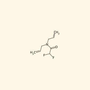 C=CCN(CC=C)C(=O)C(F)F